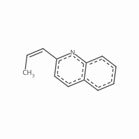 C/C=C\c1ccc2ccccc2n1